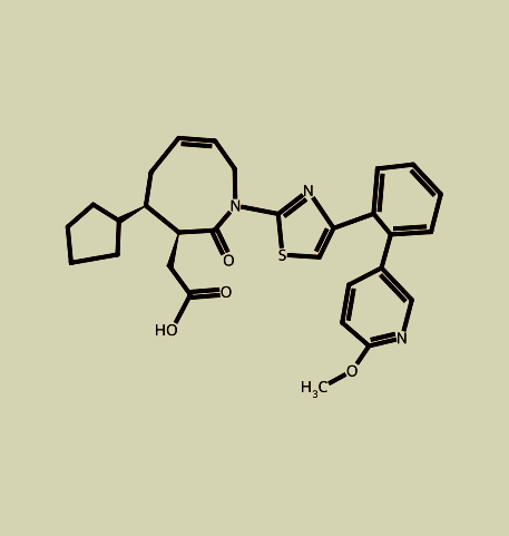 COc1ccc(-c2ccccc2-c2csc(N3C/C=C\C[C@H](C4CCCC4)[C@H](CC(=O)O)C3=O)n2)cn1